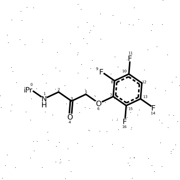 CC(C)NCC(=O)COc1c(F)c(F)cc(F)c1F